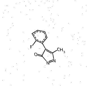 CC1=C(c2ccccc2F)C(=O)N=N1